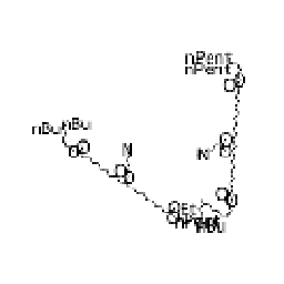 CCCCCC(/C=C\COC(=O)CCCCCCCCCC(CCCCCCCCCC(=O)OC/C=C\C(CCCCC)CCCC(C)C(CC)CC(C/C=C\COC(=O)CCCCCCCCCC(CCCCCCCCCC(=O)OC/C=C\CC(CCCC)CCCC)OC(=O)CCCN(C)C)CCCC)OC(=O)CCCN(C)C)CCCCC